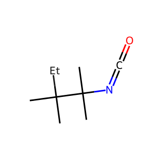 CCC(C)(C)C(C)(C)N=C=O